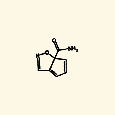 NC(=O)C12C=CC=C1C=NO2